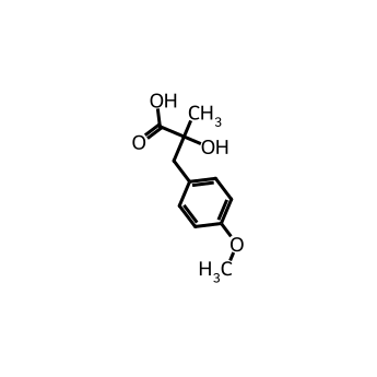 COc1ccc(CC(C)(O)C(=O)O)cc1